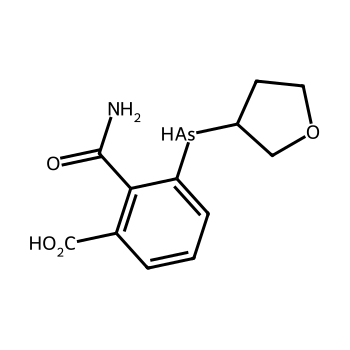 NC(=O)c1c([AsH]C2CCOC2)cccc1C(=O)O